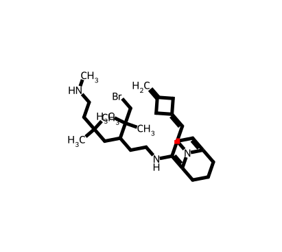 C=C1CC(=CCN2C3=CCC(NCCC(CC(C)(C)CCNC)C(C)(C)CBr)=C2CCC3)C1